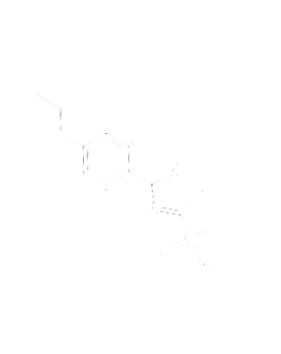 CCOc1ccc(-c2nsc(S(N)(=O)=O)n2)cc1